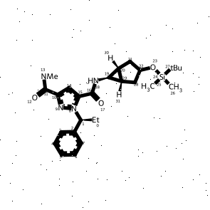 CC[C@@H](c1ccccc1)n1nc(C(=O)NC)cc1C(=O)N[C@H]1[C@@H]2CC(O[Si](C)(C)C(C)(C)C)C[C@@H]21